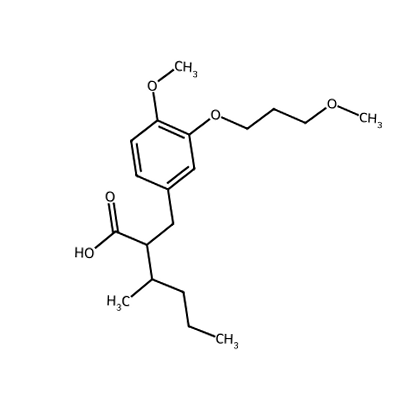 CCCC(C)C(Cc1ccc(OC)c(OCCCOC)c1)C(=O)O